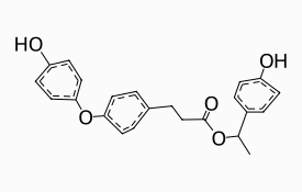 CC(OC(=O)CCc1ccc(Oc2ccc(O)cc2)cc1)c1ccc(O)cc1